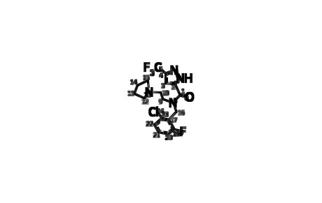 O=C(c1cc(C(F)(F)F)n[nH]1)N(CCN1CCCC1)Cc1c(F)cccc1Cl